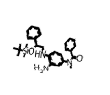 CN(C(=O)c1ccccc1)c1ccc(NCC(O[Si](C)(C)C(C)(C)C)c2ccccc2)c(N)c1